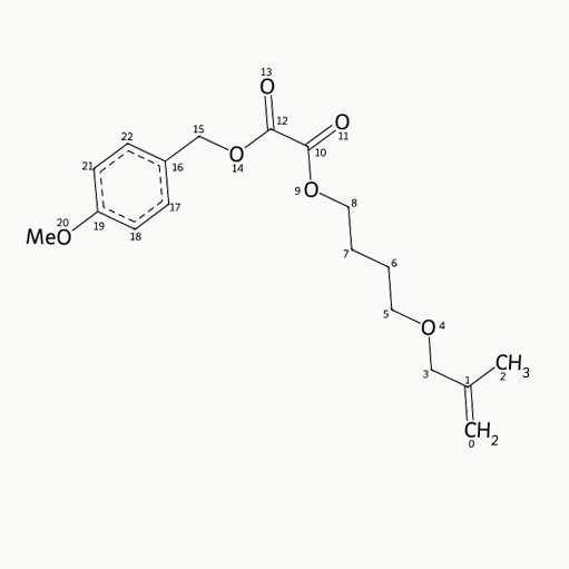 C=C(C)COCCCCOC(=O)C(=O)OCc1ccc(OC)cc1